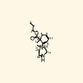 CCCOC(=O)C1(C)CC=CC=C1[N+]1(C)CCNCC1